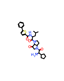 CC(C)CC(NC(=O)c1ccc(-c2ccccc2)s1)C(=O)N1CCC2C1C(=O)CN2C(=O)C(N)C1CCCC1